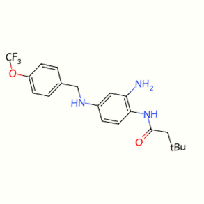 CC(C)(C)CC(=O)Nc1ccc(NCc2ccc(OC(F)(F)F)cc2)cc1N